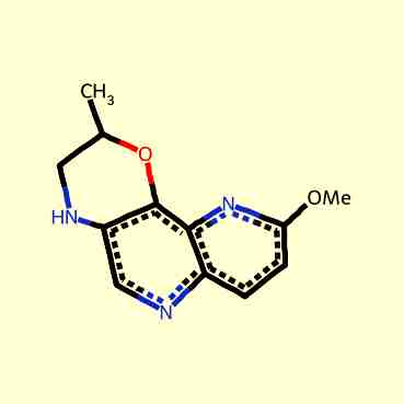 COc1ccc2ncc3c(c2n1)OC(C)CN3